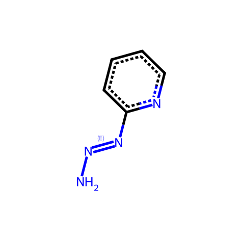 N/N=N/c1ccccn1